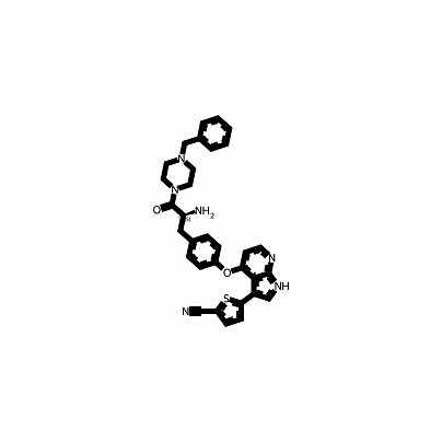 N#Cc1ccc(-c2c[nH]c3nccc(Oc4ccc(C[C@H](N)C(=O)N5CCN(Cc6ccccc6)CC5)cc4)c23)s1